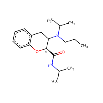 CCCN(C(C)C)C1Cc2ccccc2O[C@@H]1C(=O)NC(C)C